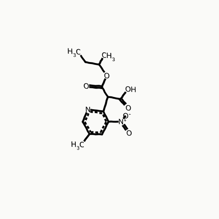 CCC(C)OC(=O)C(C(=O)O)c1ncc(C)cc1[N+](=O)[O-]